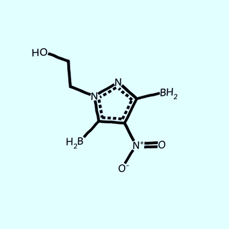 Bc1nn(CCO)c(B)c1[N+](=O)[O-]